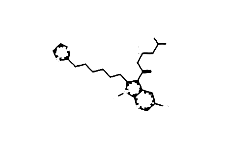 C[C@@H](CC(=O)c1c(CCCCCCc2ncco2)n(C)c2ncc(C#N)cc12)CC(O)O